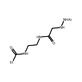 CCC(=O)NCCNC(=O)CNNC(C)=O